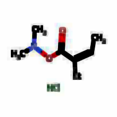 CC=C(CC)C(=O)ON(C)C.Cl